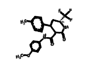 COc1ccc(NC(=O)C2C(=O)N[C@@H](C(F)(F)F)CC2c2ccc(C)cc2)cc1